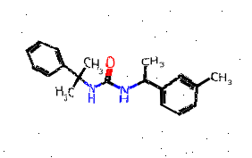 Cc1cccc(C(C)NC(=O)NC(C)(C)c2ccccc2)c1